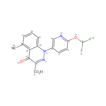 CCOC(=O)c1nn(-c2ccc(OC(F)F)nc2)c2cccc(C#N)c2c1=O